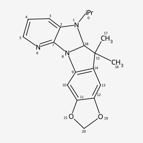 CC(C)N1c2cccnc2N2c3cc4c(cc3C(C)(C)C21)OCO4